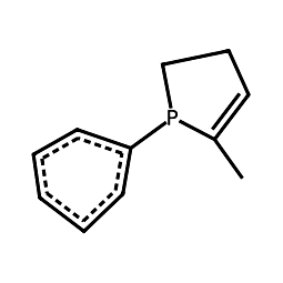 CC1=CCCP1c1ccccc1